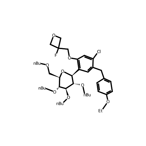 CCCCOC[C@H]1O[C@@H](c2cc(Cc3ccc(OCC)cc3)c(Cl)cc2OCC2(F)COC2)[C@H](OCCCC)[C@@H](OCCCC)[C@@H]1OCCCC